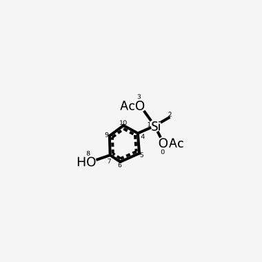 CC(=O)O[Si](C)(OC(C)=O)c1ccc(O)cc1